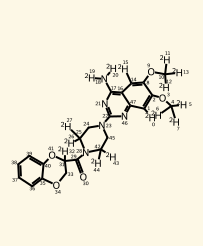 [2H]c1c(OC([2H])([2H])[2H])c(OC([2H])([2H])[2H])c([2H])c2c(N([2H])[2H])nc(N3CC([2H])([2H])N(C(=O)C4([2H])COc5ccccc5O4)C([2H])([2H])C3)nc12